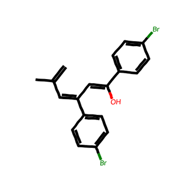 C=C(C)/C=C(\C=C(/O)c1ccc(Br)cc1)c1ccc(Br)cc1